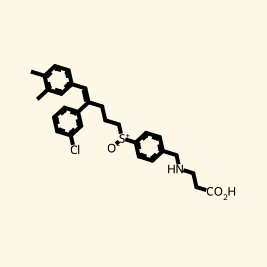 Cc1ccc(/C=C(/CCC[S+]([O-])c2ccc(CNCCC(=O)O)cc2)c2cccc(Cl)c2)cc1C